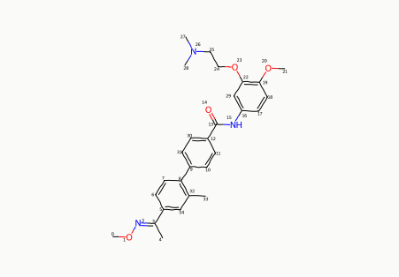 CO/N=C(\C)c1ccc(-c2ccc(C(=O)Nc3ccc(OC)c(OCCN(C)C)c3)cc2)c(C)c1